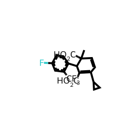 CC1(C(=O)O)C=CC(C2CC2)=C(C(=O)O)C1c1ccc(F)cc1C(F)(F)F